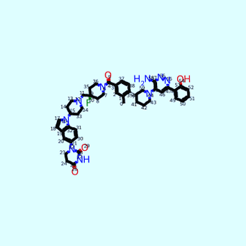 Cc1cc(C(=O)N2CCC(F)(CN3CCC(n4ccc5cc(N6CCC(=O)NC6=O)ccc54)CC3)CC2)ccc1[C@H]1CCCN(c2cc(-c3ccccc3O)nnc2N)C1